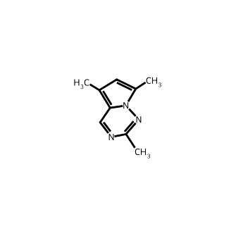 Cc1ncc2c(C)cc(C)n2n1